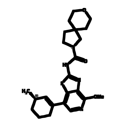 COc1ncc(C2=C[C@H](C)CCC2)c2sc(NC(=O)N3CCC4(CCOCC4)C3)nc12